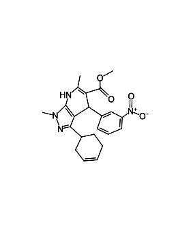 COC(=O)C1=C(C)Nc2c(c(C3CC=CCC3)nn2C)C1c1cccc([N+](=O)[O-])c1